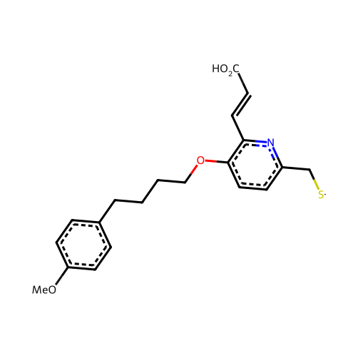 COc1ccc(CCCCOc2ccc(C[S])nc2C=CC(=O)O)cc1